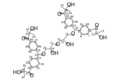 CC(C)(O)C(=O)c1ccc(C(OCC(O)COCC(O)COC(c2ccc(C(=O)C(C)(C)O)cc2)c2ccc(C(=O)C(C)(C)O)cc2)c2ccc(C(=O)C(C)(C)O)cc2)cc1